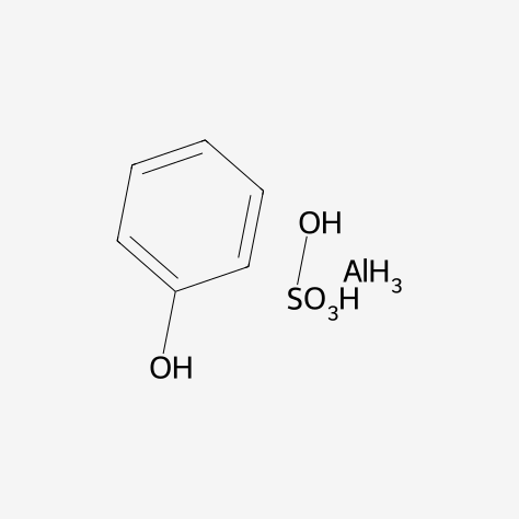 O=S(=O)(O)O.Oc1ccccc1.[AlH3]